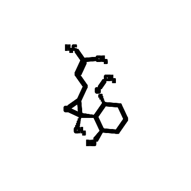 CO[C@@H]1CCC[C@@H](O)[C@H]1[C@@]1(C)OC1CC=C(C)C